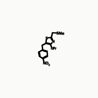 CCCc1nc(CSC)sc1Cc1ccc([N+](=O)[O-])cc1